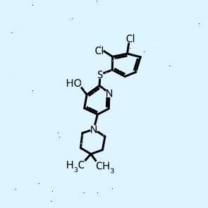 CC1(C)CCN(c2cnc(Sc3cccc(Cl)c3Cl)c(O)c2)CC1